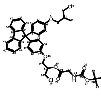 CC(CCl)COc1ccc(C2(c3ccc(OCC(CCl)OC(=O)CNC(=O)OC(C)(C)C)cc3)c3ccccc3-c3ccccc32)cc1